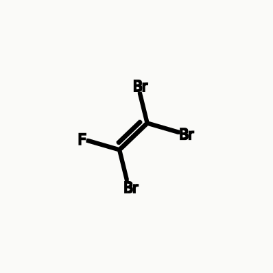 FC(Br)=C(Br)Br